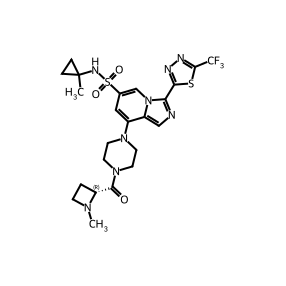 CN1CC[C@@H]1C(=O)N1CCN(c2cc(S(=O)(=O)NC3(C)CC3)cn3c(-c4nnc(C(F)(F)F)s4)ncc23)CC1